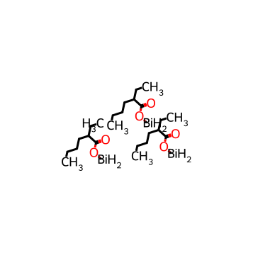 CCCCC(CC)C(=O)[O][BiH2].CCCCC(CC)C(=O)[O][BiH2].CCCCC(CC)C(=O)[O][BiH2]